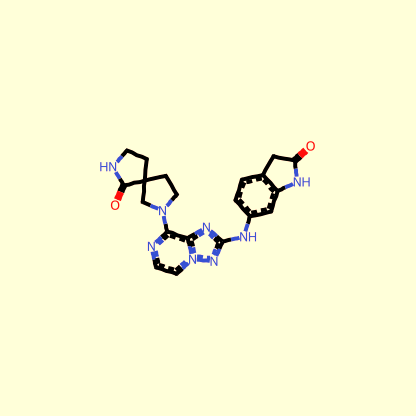 O=C1Cc2ccc(Nc3nc4c(N5CCC6(CCNC6=O)C5)nccn4n3)cc2N1